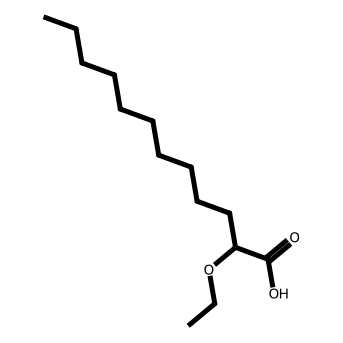 CCCCCCCCCCC(OCC)C(=O)O